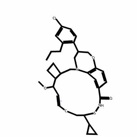 CCCc1cc(Cl)ccc1C1COc2ccc3cc2N(C1)CC1CCC1C(OC)/C=C/CCC(C1CC1)SNC3=O